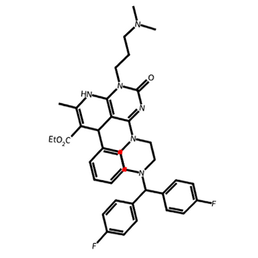 CCOC(=O)C1=C(C)Nc2c(c(N3CCN(C(c4ccc(F)cc4)c4ccc(F)cc4)CC3)nc(=O)n2CCCN(C)C)C1c1ccccc1